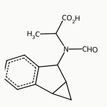 CC(C(=O)O)N(C=O)C1c2ccccc2C2CC21